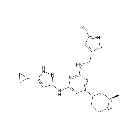 CC(C)c1cc(CNc2nc(Nc3cc(C4CC4)[nH]n3)cc(C3CCN[C@H](C)C3)n2)on1